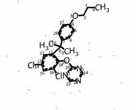 CCCOc1ccc(C(C)(C)c2cc(Cl)cc(Cl)c2Oc2ncncn2)cc1